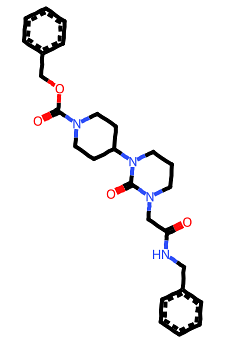 O=C(CN1CCCN(C2CCN(C(=O)OCc3ccccc3)CC2)C1=O)NCc1ccccc1